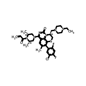 C=CC(=O)N1[C@H](C)CN(c2nc(=O)n3c4c(c(-c5cc(Cl)c(F)cc5F)c(C)cc24)SC[C@@H]3CN2CCN(CC)CC2)C[C@@H]1C